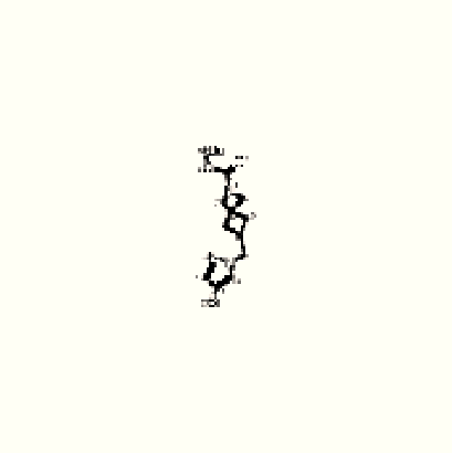 CC(C)(C)OC(=O)N1CC2(CC(Cn3cc(Br)cn3)C2)C1